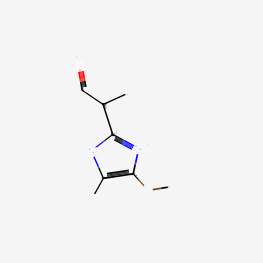 CSc1nc(C(C)C=O)[nH]c1C